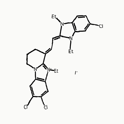 CCN1C(=CC=C2CCCn3c2[n+](CC)c2cc(Cl)c(Cl)cc23)N(CC)c2cc(Cl)ccc21.[I-]